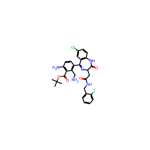 CC(C)(C)OC(=O)c1c(N)ccc(C2=NC(CC(=O)NCc3ccccc3F)C(=O)Nc3ccc(Cl)cc32)c1CN